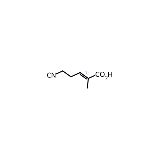 [C-]#[N+]CC/C=C(\C)C(=O)O